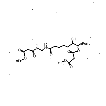 CCCCCC(OC(=O)CC(=O)OCCC)C(O)CCCCC(=O)NCNC(=O)CC(=O)OCCC